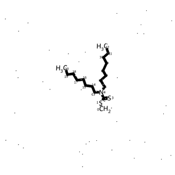 [CH2]SC(=S)N(CCCCCCCC)CCCCCCCC